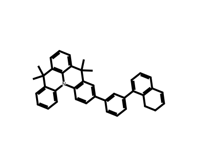 CC1(C)c2ccccc2N2c3ccc(-c4cccc(-c5cccc6c5CCC=C6)c4)cc3C(C)(C)c3cccc1c32